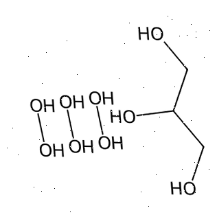 OCC(O)CO.OO.OO.OO